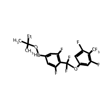 CCC(C)(C)OBc1cc(F)c(C(F)(F)Oc2cc(F)c(C(F)(F)F)c(F)c2)c(F)c1